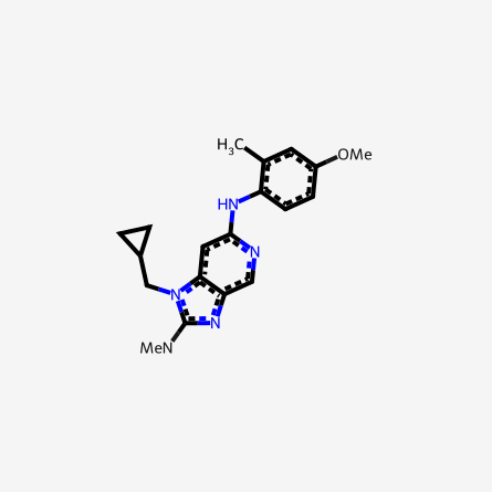 CNc1nc2cnc(Nc3ccc(OC)cc3C)cc2n1CC1CC1